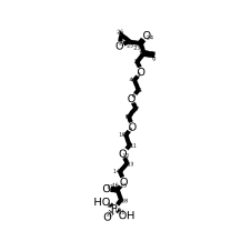 C=C(COCCOCCOCCOCCOC(=O)CP(=O)(O)O)C(=O)C1CO1